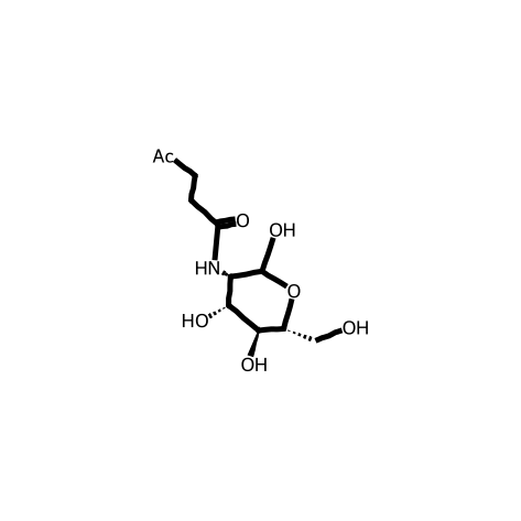 CC(=O)CCC(=O)N[C@@H]1C(O)O[C@H](CO)[C@@H](O)[C@@H]1O